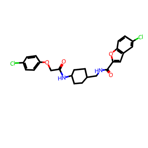 O=C(COc1ccc(Cl)cc1)NC1CCC(CNC(=O)c2cc3cc(Cl)ccc3o2)CC1